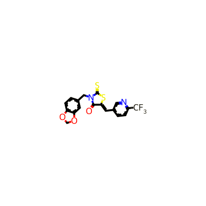 O=C1C(=Cc2ccc(C(F)(F)F)nc2)SC(=S)N1Cc1ccc2c(c1)OCO2